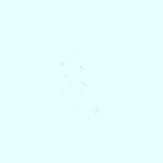 COC(=O)c1cccc2oc(N3CCOC[C@H]3C(C)C)nc12